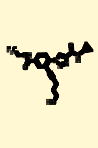 O=C(NCC(F)(F)F)c1ccc(-n2cc(C(=O)NC3CC3)nn2)c(C#CCCCO)c1